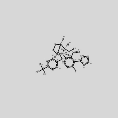 Cc1ccc(N2[C@H](CF)[C@@H]3CC[C@H]2[C@H](Oc2ccc(C(F)(F)F)cn2)C3)c(C=O)c1-c1ncco1